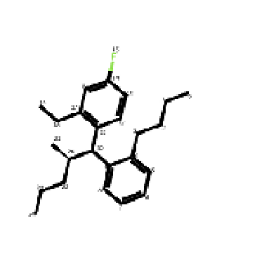 CCCCc1ccccc1C(c1ccc(F)cc1CC)[C@H](C)CCC